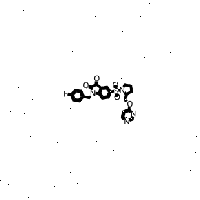 O=C1C(=O)N(Cc2ccc(F)cc2)c2ccc(S(=O)(=O)N3CCCC3COc3ccncn3)cc21